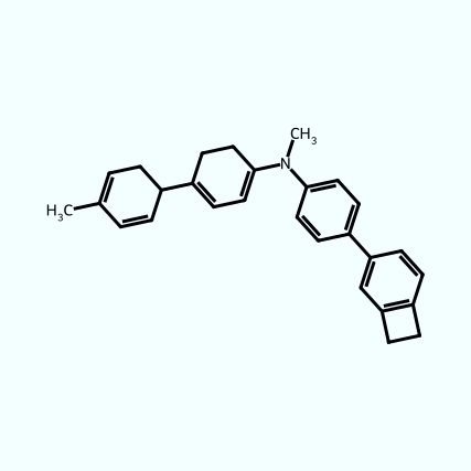 CC1=CCC(C2=CC=C(N(C)c3ccc(-c4ccc5c(c4)CC5)cc3)CC2)C=C1